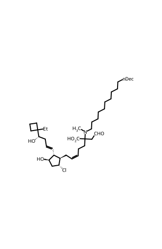 CCCCCCCCCCCCCCCCCCCCN(C)C(CC=O)(CC/C=C\C[C@@H]1[C@@H](/C=C/C[C@H](O)C2(CC)CCC2)[C@H](O)C[C@H]1Cl)C(=O)O